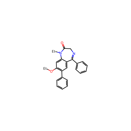 CCOc1cc2c(cc1-c1ccccc1)C(c1ccccc1)=NCC(=O)N2CC